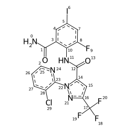 NC(=O)c1cc(I)cc(F)c1NC(=O)c1cc(C(F)(F)F)nn1-c1ncccc1Cl